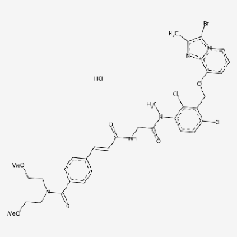 COCCN(CCOC)C(=O)c1ccc(/C=C/C(=O)NCC(=O)N(C)c2ccc(Cl)c(COc3cccn4c(Br)c(C)nc34)c2Cl)cc1.Cl